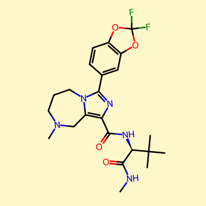 CNC(=O)[C@@H](NC(=O)c1nc(-c2ccc3c(c2)OC(F)(F)O3)n2c1CN(C)CCC2)C(C)(C)C